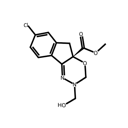 COC(=O)[C@]12Cc3cc(Cl)ccc3C1=NN(CO)CO2